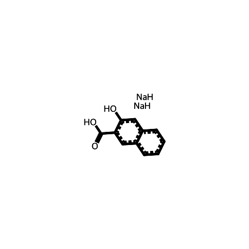 O=C(O)c1cc2ccccc2cc1O.[NaH].[NaH]